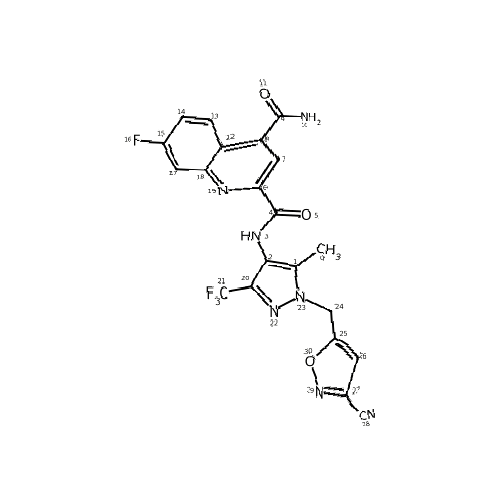 Cc1c(NC(=O)c2cc(C(N)=O)c3ccc(F)cc3n2)c(C(F)(F)F)nn1Cc1cc(C#N)no1